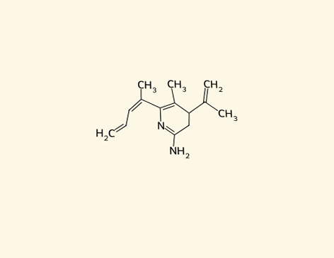 C=C/C=C(/C)C1=C(C)C(C(=C)C)CC(N)=N1